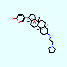 C[C@]12CCC(NCCN3CCCC3)C[C@H]1CC[C@@H]1C2CC[C@]2(C)[C@@H](c3ccc(=O)oc3)CC[C@]12O